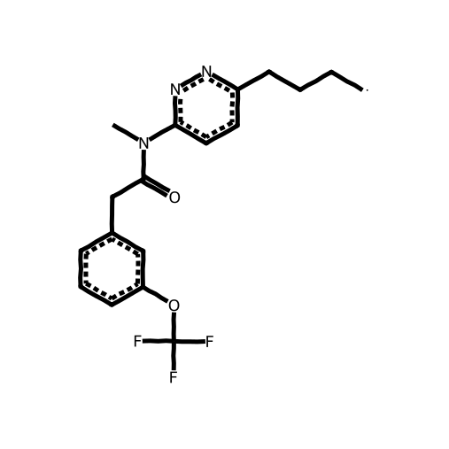 [CH2]CCCc1ccc(N(C)C(=O)Cc2cccc(OC(F)(F)F)c2)nn1